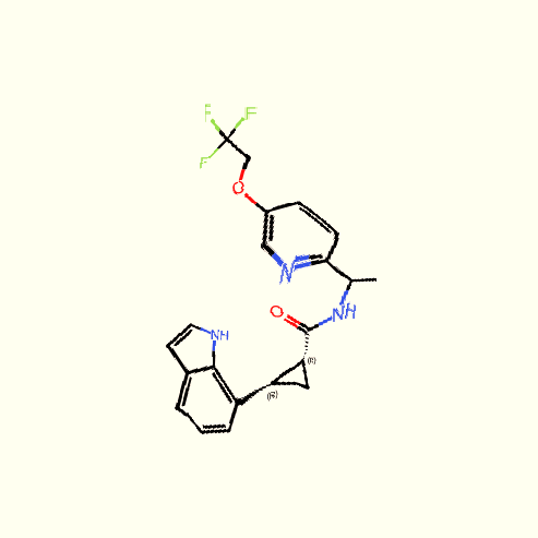 CC(NC(=O)[C@@H]1C[C@H]1c1cccc2cc[nH]c12)c1ccc(OCC(F)(F)F)cn1